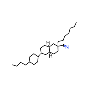 CCCCCCC[C@]1(C#N)CC[C@@H]2C[C@@H](C3CCC(CCCC)CC3)CC[C@@H]2C1